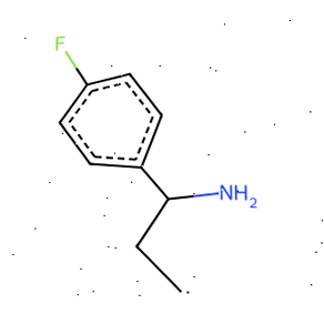 [CH2]CC(N)c1ccc(F)cc1